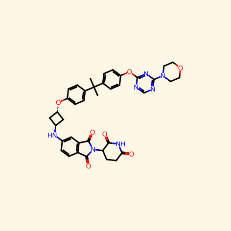 CC(C)(c1ccc(Oc2ncnc(N3CCOCC3)n2)cc1)c1ccc(O[C@H]2C[C@H](Nc3ccc4c(c3)C(=O)N(C3CCC(=O)NC3=O)C4=O)C2)cc1